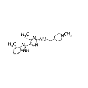 CCc1nc(NCCCC2CCN(C)CC2)ncc1-c1nc2c(C)cccc2[nH]1